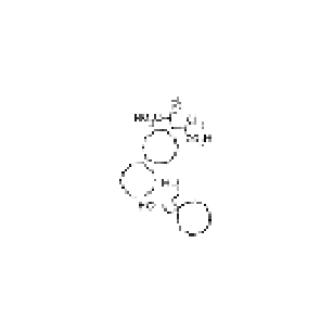 C1CCCCCCCCC1.C1CCCCCCCCC1.C=C(C=C(C)C(=O)O)C(=O)O.OCCC1(CCO)CCCCCCCCC1